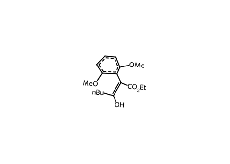 CCCC/C(O)=C(/C(=O)OCC)c1c(OC)cccc1OC